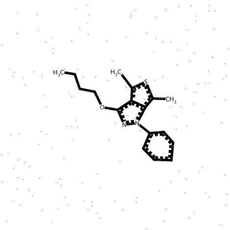 CCCCOc1nn(-c2ccccc2)c2c(C)sc(C)c12